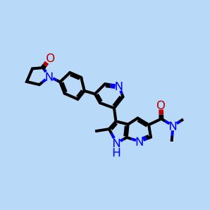 Cc1[nH]c2ncc(C(=O)N(C)C)cc2c1-c1cncc(-c2ccc(N3CCCC3=O)cc2)c1